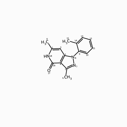 Cc1cc2c(c(C)nn2-c2ccccc2C)c(=O)[nH]1